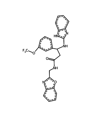 O=C(CC(Nc1nc2ccccc2[nH]1)c1cccc(OC(F)(F)F)c1)NCc1nc2ccccc2o1